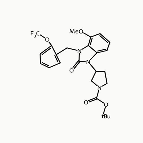 COc1cccc2c1n(Cc1ccccc1OC(F)(F)F)c(=O)n2C1CCN(C(=O)OC(C)(C)C)C1